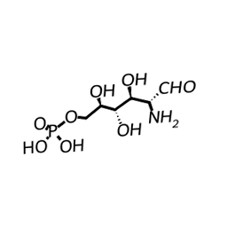 N[C@@H](C=O)[C@H](O)[C@H](O)[C@H](O)COP(=O)(O)O